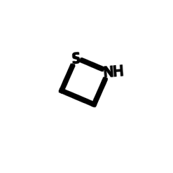 C1CSN1